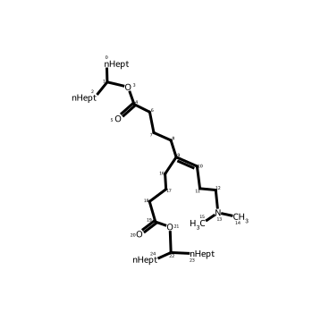 CCCCCCCC(CCCCCCC)OC(=O)CCCC(=CCCN(C)C)CCCC(=O)OC(CCCCCCC)CCCCCCC